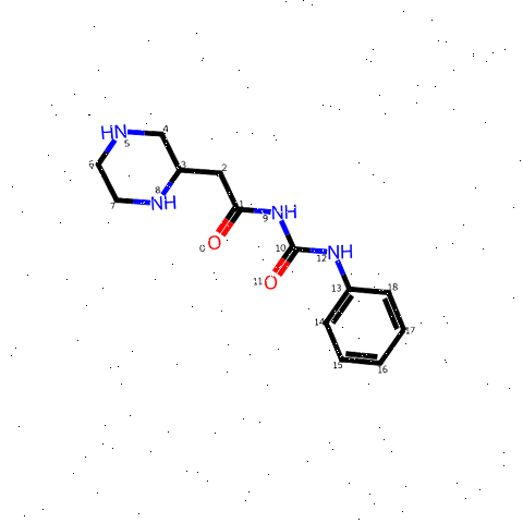 O=C(CC1CNCCN1)NC(=O)Nc1ccccc1